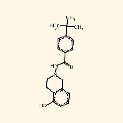 CC(C)(C)c1ccc(C(=O)NN2CCc3c(O)cccc3C2)cc1